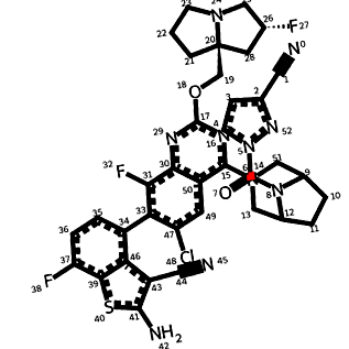 N#Cc1ccn(C(=O)N2C3CCC2CN(c2nc(OC[C@@]45CCCN4C[C@H](F)C5)nc4c(F)c(-c5ccc(F)c6sc(N)c(C#N)c56)c(Cl)cc24)C3)n1